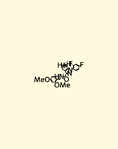 COc1ccc(CNC(=O)c2nn(-c3ccc(F)cc3F)c3c2C[C@H]2C[C@@H]32)c(OC)c1